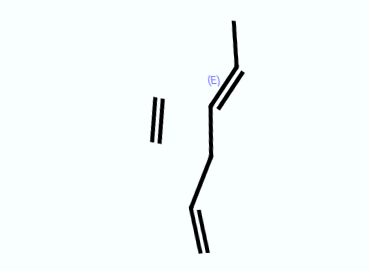 C=C.C=CC/C=C/C